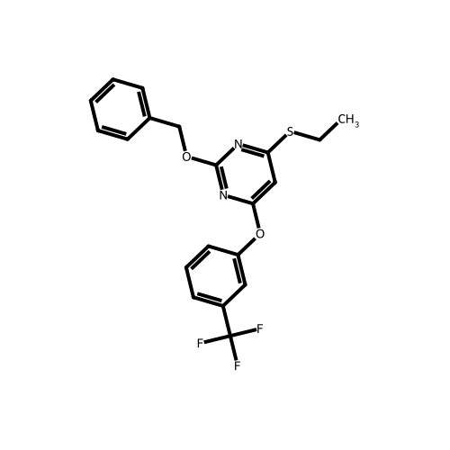 CCSc1cc(Oc2cccc(C(F)(F)F)c2)nc(OCc2ccccc2)n1